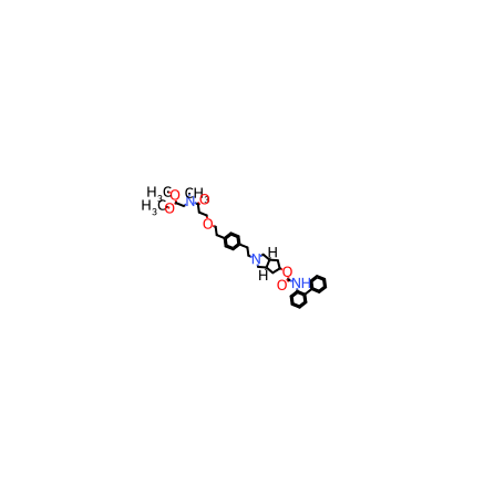 COC(CN(C)C(=O)CCOCCc1ccc(CCN2C[C@H]3CC(OC(=O)Nc4ccccc4-c4ccccc4)C[C@H]3C2)cc1)OC